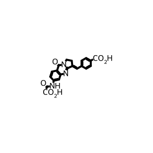 O=C(O)C(=O)Nc1ccc2c(=O)n3c(nc2c1)C(=Cc1ccc(C(=O)O)cc1)CC3